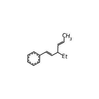 CC=CC(C=Cc1ccccc1)CC